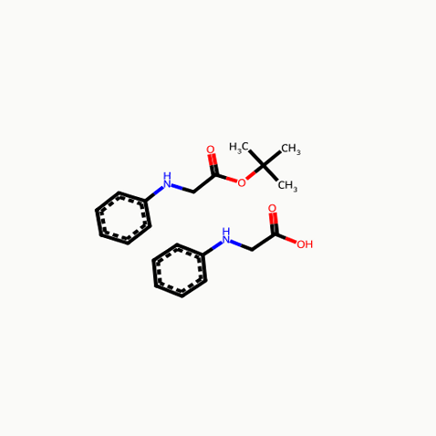 CC(C)(C)OC(=O)CNc1ccccc1.O=C(O)CNc1ccccc1